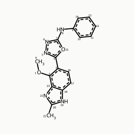 COc1c(-c2nnc(Nc3ccccc3)o2)ccc2[nH]c(C)nc12